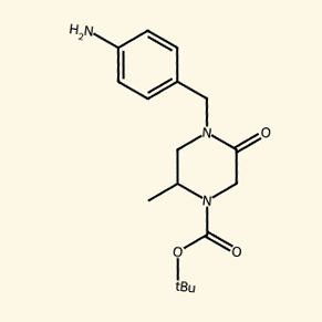 CC1CN(Cc2ccc(N)cc2)C(=O)CN1C(=O)OC(C)(C)C